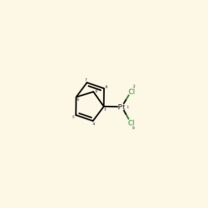 [Cl][Pt]([Cl])[C]12C=CC(C=C1)C2